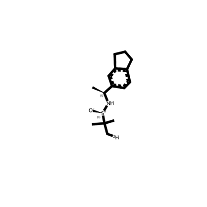 [2H]CC(C)(C)[S@@+]([O-])N[C@@H](C)c1ccc2c(c1)CCC2